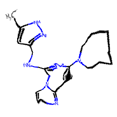 Cc1cc(Nc2nc(N3CCCCCC3)cc3nccn23)n[nH]1